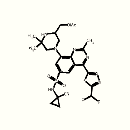 COCC1CN(c2cc(S(=O)(=O)NC3(C#N)CC3)cc3c(-c4nnc(C(F)F)s4)nc(C)nc23)CC(C)(C)N1